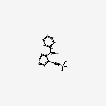 C[Si](C)(C)C#Cc1ccccc1C(=O)c1ccccc1